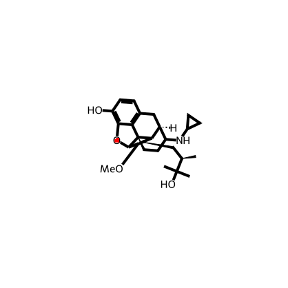 COC1CC[C@@H](C[C@@H](C)C(C)(C)O)C2[C@H]3Cc4ccc(O)c5c4[C@@]2(CCC3NC2CC2)[C@]1(C)O5